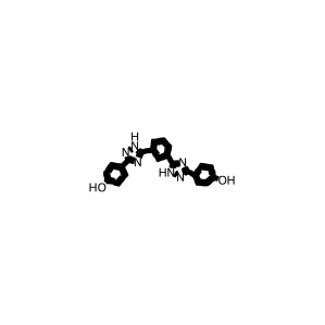 Oc1ccc(-c2n[nH]c(-c3cccc(-c4nc(-c5ccc(O)cc5)n[nH]4)c3)n2)cc1